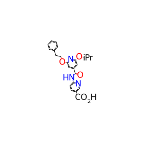 CC(C)Oc1cc(C(=O)Nc2ccc(C(=O)O)cn2)cc(OCCc2ccccc2)n1